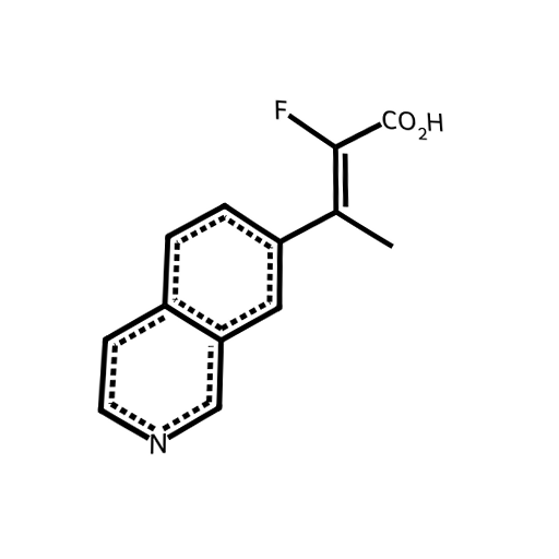 CC(=C(F)C(=O)O)c1ccc2ccncc2c1